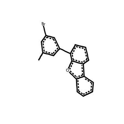 Cc1cc(Br)cc(-c2cccc3c2oc2ccccc23)c1